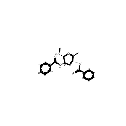 CO[C@@H]1O[C@@H](C)[C@H](OC(=O)c2ccccc2)C[C@H]1OC(=O)c1ccccc1